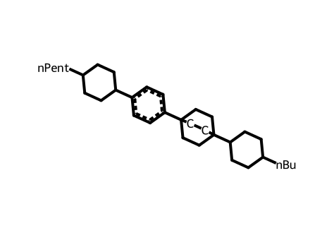 CCCCCC1CCC(c2ccc(C34CCC(C5CCC(CCCC)CC5)(CC3)CC4)cc2)CC1